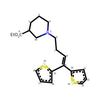 CCOC(=O)C1CCCN(CCC=C(c2cccs2)c2cccs2)C1